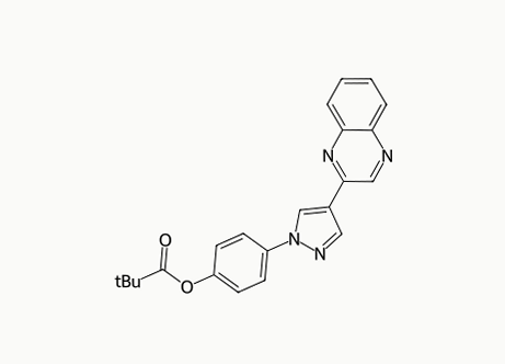 CC(C)(C)C(=O)Oc1ccc(-n2cc(-c3cnc4ccccc4n3)cn2)cc1